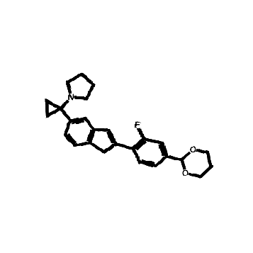 Fc1cc(C2OCCCO2)ccc1C1=Cc2cc(C3(N4CCCC4)CC3)ccc2C1